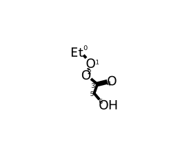 CCOOC(=O)CO